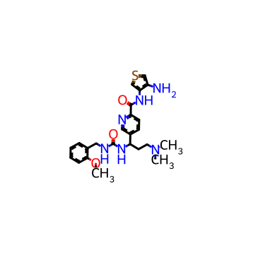 COc1ccccc1CNC(=O)NC(CCN(C)C)c1ccc(C(=O)Nc2cscc2N)nc1